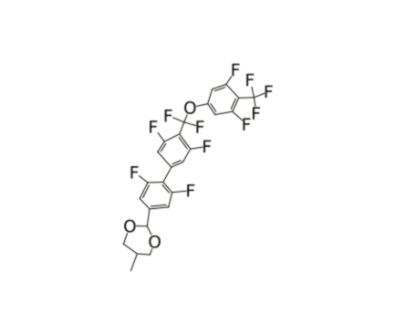 CC1COC(c2cc(F)c(-c3cc(F)c(C(F)(F)Oc4cc(F)c(C(F)(F)F)c(F)c4)c(F)c3)c(F)c2)OC1